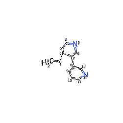 C=Cc1ccncc1-c1cccnc1